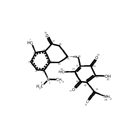 CN(C)c1ccc(O)c2c1C[C@@H](CC1=C(O)C(=O)C(C(N)=O)=C(O)C1=O)CC2=O